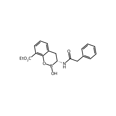 CCOC(=O)c1cccc2c1OB(O)[C@@H](NC(=O)Cc1ccccc1)C2